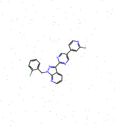 Fc1cc(-c2cnc(-c3nn(Cc4ccccc4F)c4ncccc34)nc2)ccn1